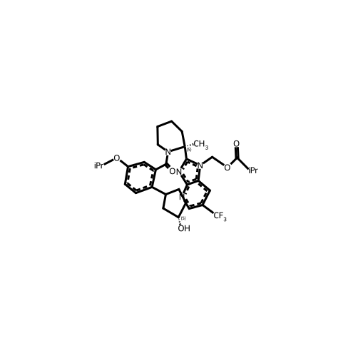 CC(C)Oc1ccc(C2CC[C@H](O)C2)c(C(=O)N2CCCC[C@@]2(C)c2nc3ncc(C(F)(F)F)cc3n2COC(=O)C(C)C)c1